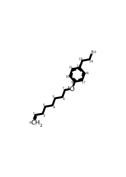 C=CCCCCCCOc1ccc(CCI)cc1